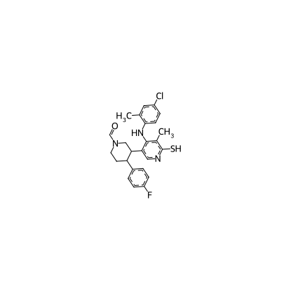 Cc1cc(Cl)ccc1Nc1c(C2CN(C=O)CCC2c2ccc(F)cc2)cnc(S)c1C